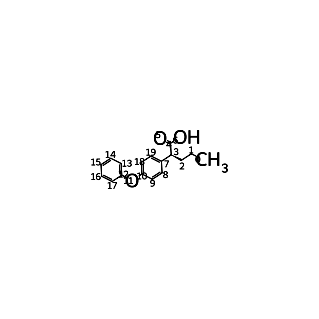 CCC[C@H](C(=O)O)c1ccc(Oc2ccccc2)cc1